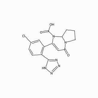 O=C1C=C(c2cc(Cl)ccc2-c2nnn[nH]2)N(C(=O)O)C2CCCN12